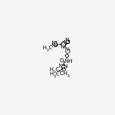 Cn1cc(-c2cn3nccc3c(N3CC[C@]4(C3)C[C@H](NC(=O)c3noc(C(C)(C)C)n3)C4)n2)cn1